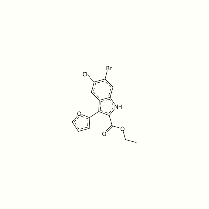 CCOC(=O)c1[nH]c2cc(Br)c(Cl)cc2c1-c1ccco1